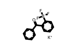 O=C(c1ccccc1)c1ccccc1[B-](F)(F)F.[K+]